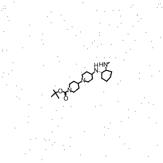 CN[C@H]1CCCC[C@@H]1NC1CCN(C2CCN(C(=O)OC(C)(C)C)CC2)CC1